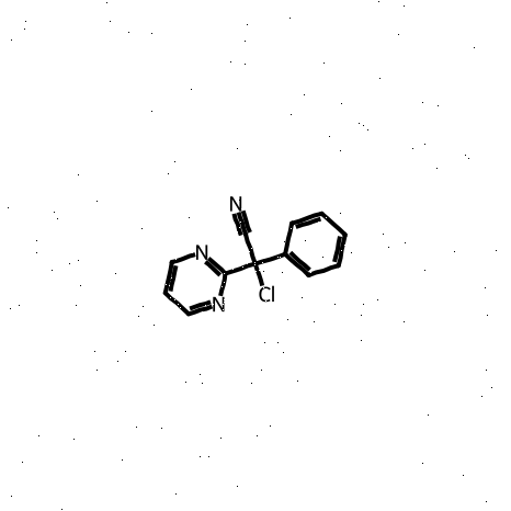 N#CC(Cl)(c1ccccc1)c1ncccn1